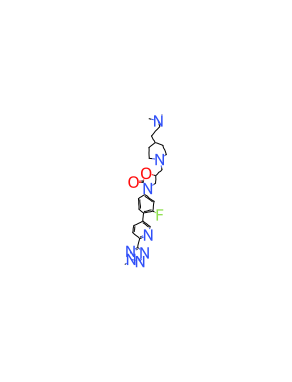 CN(C)CCC1CCN(CC2CN(c3ccc(-c4ccc(-c5nnn(C)n5)nc4)c(F)c3)C(=O)O2)CC1